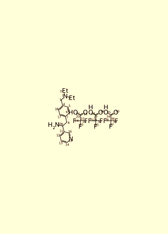 CCN(CC)Cc1ccc(CC(N)c2cccnc2)cc1.O=C(O)C(F)(F)F.O=C(O)C(F)(F)F.O=C(O)C(F)(F)F